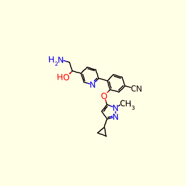 Cn1nc(C2CC2)cc1Oc1cc(C#N)ccc1-c1ccc([C@@H](O)CN)cn1